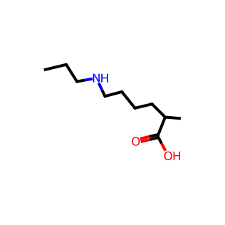 CCCNCCCCC(C)C(=O)O